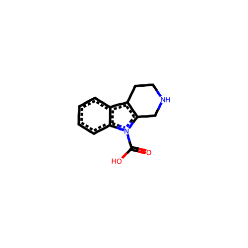 O=C(O)n1c2c(c3ccccc31)CCNC2